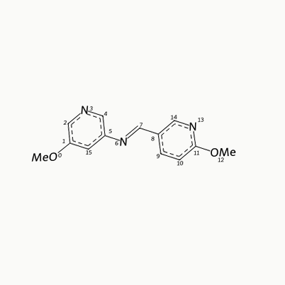 COc1cncc(/N=C/c2ccc(OC)nc2)c1